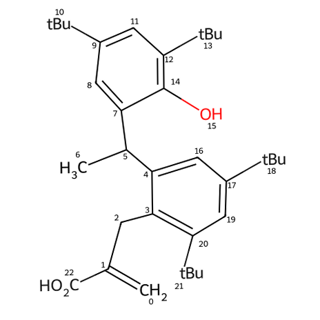 C=C(Cc1c(C(C)c2cc(C(C)(C)C)cc(C(C)(C)C)c2O)cc(C(C)(C)C)cc1C(C)(C)C)C(=O)O